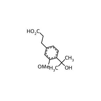 COc1cc(CCC(=O)O)ccc1C(C)(C)O